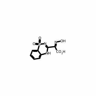 O=C(O)C(=NO)C1=NS(=O)(=O)c2ccccc2N1